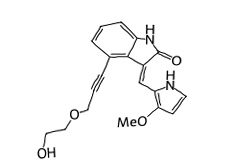 COc1cc[nH]c1C=C1C(=O)Nc2cccc(C#CCOCCO)c21